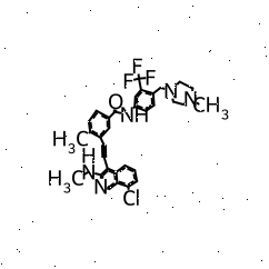 CNc1ncc2c(Cl)cccc2c1C#Cc1cc(C(=O)Nc2ccc(CN3CCN(C)CC3)c(C(F)(F)F)c2)ccc1C